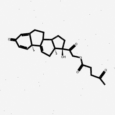 CC(=O)CCC(=O)OCC(=O)[C@@]1(O)CCC2C3CCC4=CC(=O)C=C[C@]4(C)C3=CC[C@@]21C